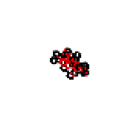 C1=CC2(C3=Cc4ccccc4C3=C1)C1=Cc3ccccc3C1=CC=C2C1=C(N(c2ccccc2-c2ccccc2)c2cccc(-c3ccccc3)c2-c2cccc3oc4ccccc4c23)C2(C=CC=C3C2=Cc2ccccc23)C2=Cc3cccc(-c4ccccc4-c4ccccc4)c3C2=C1c1cccc(-c2ccccc2)c1-c1cccc2oc3ccccc3c12